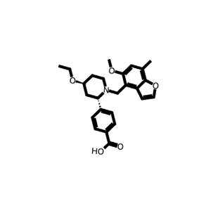 CCO[C@H]1CCN(Cc2c(OC)cc(C)c3occc23)[C@H](c2ccc(C(=O)O)cc2)C1